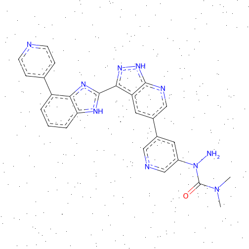 CN(C)C(=O)N(N)c1cncc(-c2cnc3[nH]nc(-c4nc5c(-c6ccncc6)cccc5[nH]4)c3c2)c1